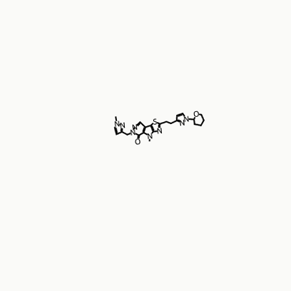 Cn1ccc(Cn2ncc3c4sc(CCc5ccn(C6CCCCO6)n5)nc4n(C)c3c2=O)n1